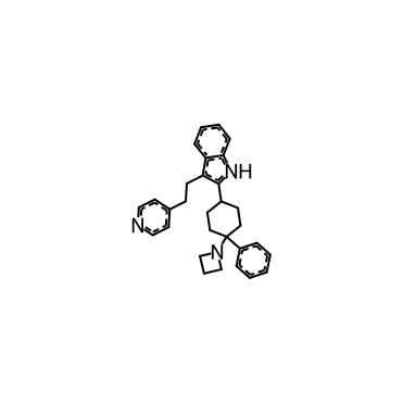 c1ccc(C2(N3CCC3)CCC(c3[nH]c4ccccc4c3CCc3ccncc3)CC2)cc1